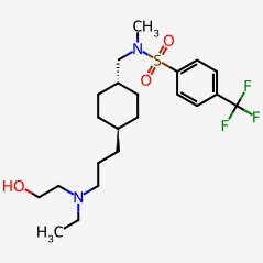 CCN(CCO)CCC[C@H]1CC[C@H](CN(C)S(=O)(=O)c2ccc(C(F)(F)F)cc2)CC1